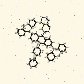 C1=CC2=CC=C(c3c4cc(N5c6ccccc6Sc6ccccc65)ccc4c(-c4ccc(-c5ccccc5)cc4)c4cc(N5c6ccccc6Sc6ccccc65)ccc34)CC2CC1